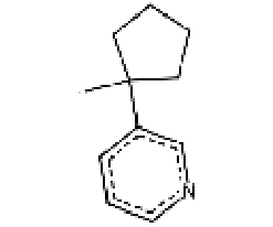 [CH2]C1(c2cccnc2)CCCC1